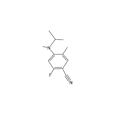 Cc1cc(C#N)c(F)cc1N(C)C(C)C